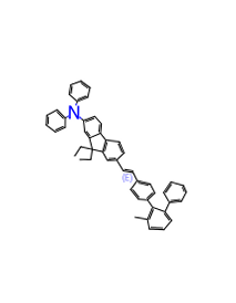 CCC1(CC)c2cc(/C=C/c3ccc(-c4c(C)cccc4-c4ccccc4)cc3)ccc2-c2ccc(N(c3ccccc3)c3ccccc3)cc21